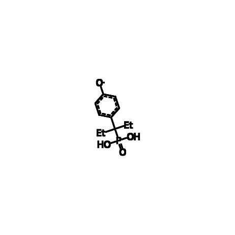 CCC(CC)(c1ccc([O])cc1)P(=O)(O)O